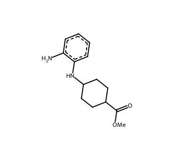 COC(=O)C1CCC(Nc2ccccc2N)CC1